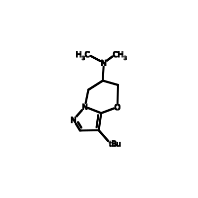 CN(C)C1COc2c(C(C)(C)C)cnn2C1